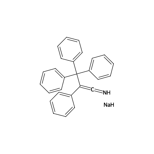 N=C=C(c1ccccc1)C(c1ccccc1)(c1ccccc1)c1ccccc1.[NaH]